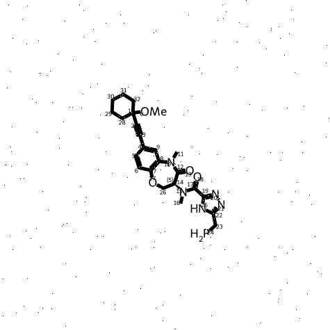 COC1(C#Cc2ccc3c(c2)N(C)C(=O)[C@@H](N(C)C(=O)c2nnc(CP)[nH]2)CO3)CCCCC1